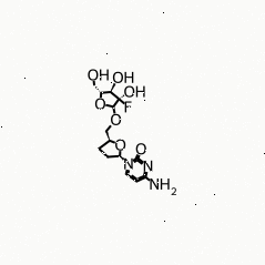 Nc1ccn([C@H]2CC[C@@H](COC3O[C@H](CO)[C@@H](O)[C@@]3(O)F)O2)c(=O)n1